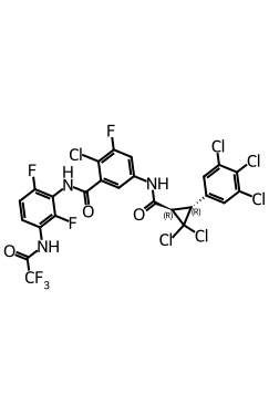 O=C(Nc1c(F)ccc(NC(=O)C(F)(F)F)c1F)c1cc(NC(=O)[C@H]2[C@H](c3cc(Cl)c(Cl)c(Cl)c3)C2(Cl)Cl)cc(F)c1Cl